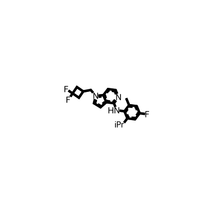 Cc1cc(F)cc(C(C)C)c1Nc1nccc2c1ccn2CC1CC(F)(F)C1